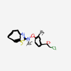 CC(=O)N(Oc1ccc(C(=O)CCl)cc1C(C)C)c1nc2ccccc2s1